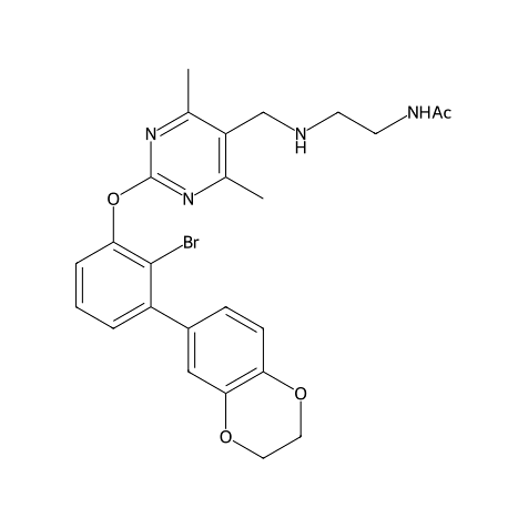 CC(=O)NCCNCc1c(C)nc(Oc2cccc(-c3ccc4c(c3)OCCO4)c2Br)nc1C